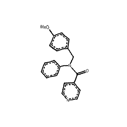 COc1ccc(CN(C(=O)c2ccncc2)c2ccccc2)cc1